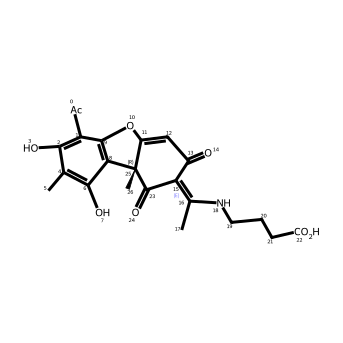 CC(=O)c1c(O)c(C)c(O)c2c1OC1=CC(=O)/C(=C(/C)NCCCC(=O)O)C(=O)[C@@]12C